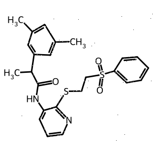 Cc1cc(C)cc(C(C)C(=O)Nc2cccnc2SCCS(=O)(=O)c2ccccc2)c1